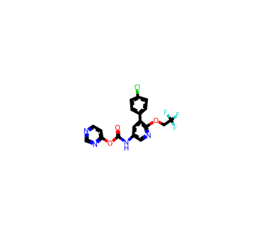 O=C(Nc1cnc(OCC(F)(F)F)c(-c2ccc(Cl)cc2)c1)Oc1ccncn1